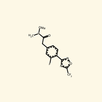 CON(C)C(=O)Cc1ccc(-c2noc(C(F)(F)F)n2)c(F)c1